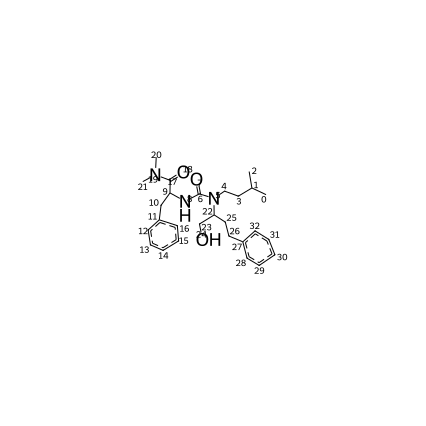 CC(C)CCN(C(=O)NC(Cc1ccccc1)C(=O)N(C)C)C(CO)CCc1ccccc1